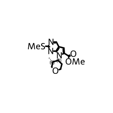 COC(=O)c1cc2cnc(SC)nc2n1[C@@H]1CCOC[C@@H]1C